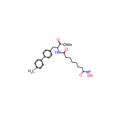 COC(=O)C(Cc1ccc(-c2ccc(C)cc2)cc1)NC(=O)CCCCCCC(=O)NO